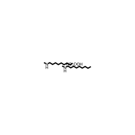 CCCCCCCCCNC.CCCCCCCCCNC.O=C(O)O